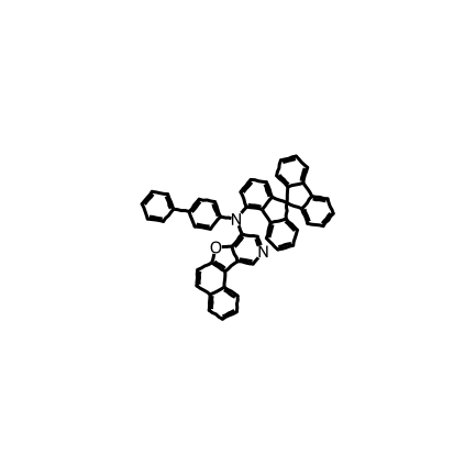 c1ccc(-c2ccc(N(c3cccc4c3-c3ccccc3C43c4ccccc4-c4ccccc43)c3cncc4c3oc3ccc5ccccc5c34)cc2)cc1